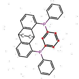 c1ccc(P(c2ccccc2)c2cccc3c2C2CCC3c3cccc(P(c4ccccc4)c4ccccc4)c32)cc1